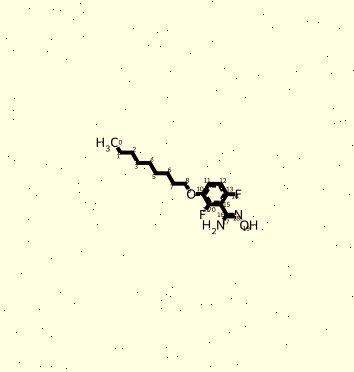 CCCCCCCCCOc1ccc(F)c(C(N)=NO)c1F